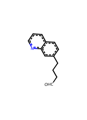 O=CCCCc1ccc2cccnc2c1